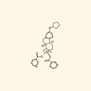 C[C@]12CC[C@@H]3c4ccc(OC5CCCC5)cc4CC[C@H]3[C@@H]1C[C@@H](OC(=O)c1cccnc1)[C@@H]2OC(=O)c1cccnc1